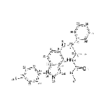 CCC(=O)N[C@@H](C)[C@H](Oc1ccc2c(cnn2-c2ccc(F)cc2)c1)c1ccccc1